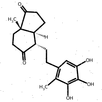 Cc1c(CC[C@@H]2C(=O)CC[C@]3(C)C(=O)CC[C@@H]23)cc(O)c(O)c1O